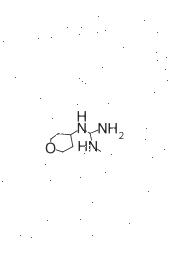 CNC(N)NC1CCOCC1